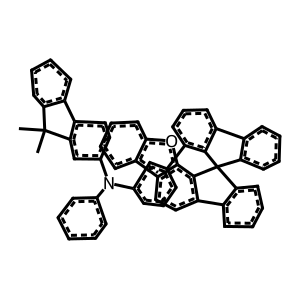 CC1(C)c2ccccc2-c2ccc(N(c3ccccc3)c3cccc(-c4cccc5c4C4(c6ccccc6-5)c5ccccc5-c5ccc6c(oc7ccccc76)c54)c3)cc21